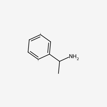 CC(N)c1[c]cc[c]c1